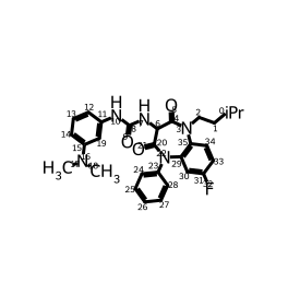 CC(C)CCN1C(=O)C(NC(=O)Nc2cccc(N(C)C)c2)C(=O)N(c2ccccc2)c2cc(F)ccc21